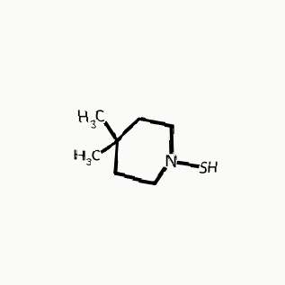 CC1(C)CCN(S)CC1